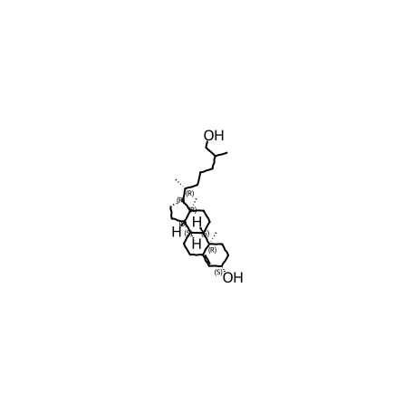 CC(CO)CCC[C@@H](C)[C@H]1CC[C@H]2[C@@H]3CCC4=C[C@@H](O)CC[C@]4(C)[C@H]3CC[C@]12C